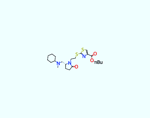 CCCCOC(=O)c1csc(SCCN2C(=O)CC[C@@H]2CN(C)C2CCCCC2)n1